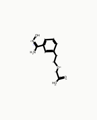 N/C(=N/O)c1cccc(CCOCC(=O)O)c1